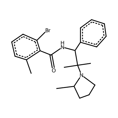 Cc1cccc(Br)c1C(=O)NC(c1ccccc1)C(C)(C)N1CCCC1C